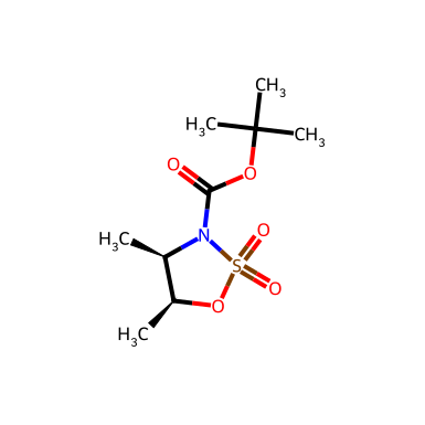 C[C@@H]1OS(=O)(=O)N(C(=O)OC(C)(C)C)[C@@H]1C